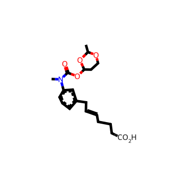 CC1OCCC(OC(=O)N(C)c2cccc(CC=CCCCC(=O)O)c2)O1